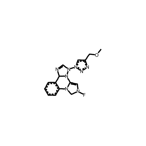 COCc1cn(N2C=NC3c4ccccc4N4CN(F)C=C4N32)nn1